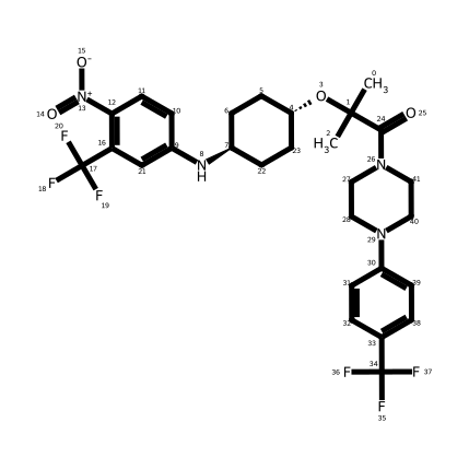 CC(C)(O[C@H]1CC[C@H](Nc2ccc([N+](=O)[O-])c(C(F)(F)F)c2)CC1)C(=O)N1CCN(c2ccc(C(F)(F)F)cc2)CC1